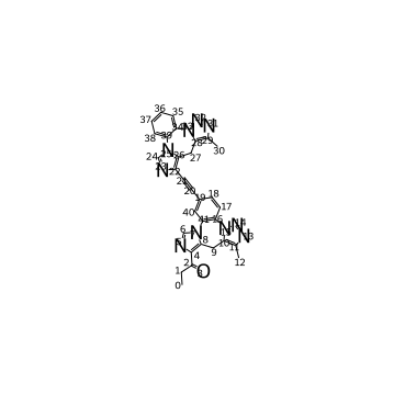 CCC(=O)c1ncn2c1Cc1c(C)nnn1-c1ccc(C#Cc3ncn4c3Cc3c(C)nnn3-c3ccccc3-4)cc1-2